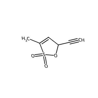 C#CC1C=C(C)S(=O)(=O)O1